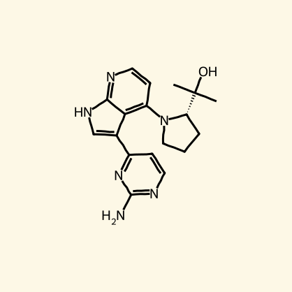 CC(C)(O)[C@@H]1CCCN1c1ccnc2[nH]cc(-c3ccnc(N)n3)c12